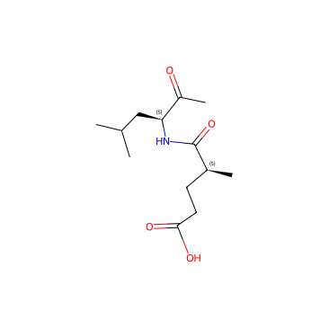 CC(=O)[C@H](CC(C)C)NC(=O)[C@@H](C)CCC(=O)O